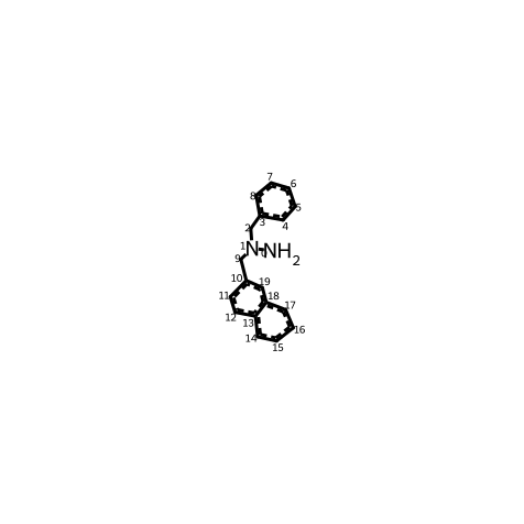 NN(Cc1ccccc1)Cc1ccc2ccccc2c1